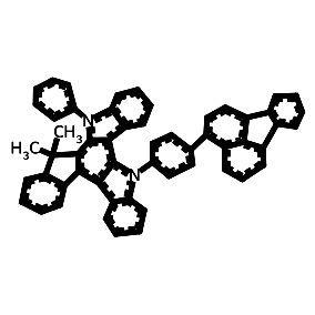 CC1(C)c2ccccc2-c2c1c1c(c3ccccc3n1-c1ccccc1)c1c2c2ccccc2n1-c1ccc(-c2ccc3c4c(cccc24)-c2ccccc2-3)cc1